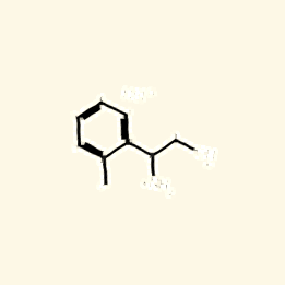 Cc1ccccc1C(N)CO.Cl